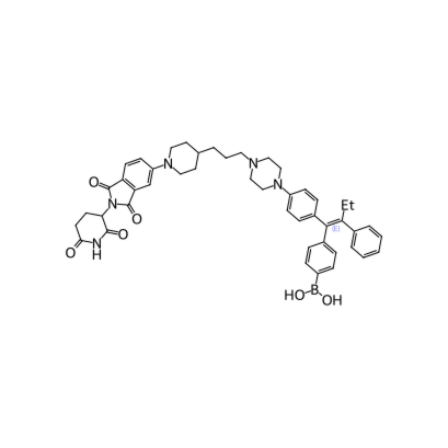 CC/C(=C(/c1ccc(B(O)O)cc1)c1ccc(N2CCN(CCCC3CCN(c4ccc5c(c4)C(=O)N(C4CCC(=O)NC4=O)C5=O)CC3)CC2)cc1)c1ccccc1